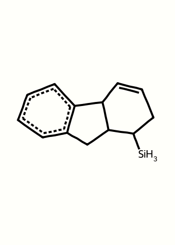 [SiH3]C1CC=CC2c3ccccc3CC12